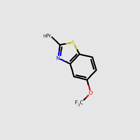 [CH2]CCc1nc2cc(OC(F)(F)F)ccc2s1